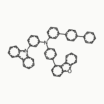 c1ccc(-c2ccc(-c3cccc(N(c4ccc(-c5cccc6oc7ccccc7c56)cc4)c4cccc(-n5c6ccccc6c6ccccc65)c4)c3)cc2)cc1